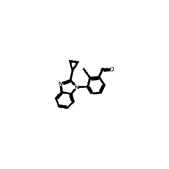 Cc1c(C=O)cccc1-n1c(C2CC2)nc2ccccc21